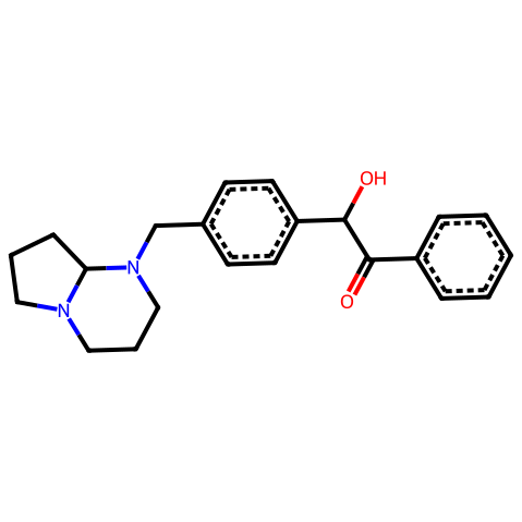 O=C(c1ccccc1)C(O)c1ccc(CN2CCCN3CCCC32)cc1